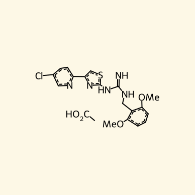 CC(=O)O.COc1cccc(OC)c1CNC(=N)Nc1nc(-c2ccc(Cl)cn2)cs1